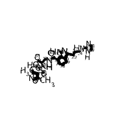 Cc1noc(C)c1S(=O)(=O)NC(CNC(=O)c1cccc2c(CCCNc3ncc[nH]3)n[nH]c12)C(=O)O